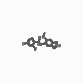 COc1cc2n[nH]cc2cc1NC(=O)c1ccc(F)cc1F